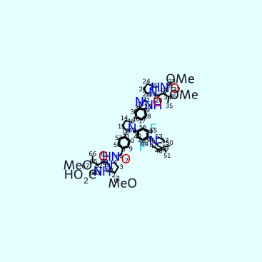 COC[C@H]1C[C@@H](NC(=O)c2ccc([C@H]3CC[C@H](c4ccc5[nH]c([C@@H]6CCCN6C(=O)C(NC(=O)OC)C(C)OC)nc5c4)N3c3cc(F)c(N4CC[Si](C)(C)CC4)c(F)c3)cc2)N(C(=O)C(NC(=O)O)C(C)OC)C1